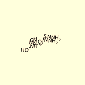 N#C/N=C(/NCCO)NCc1ccc(-c2csc(N=C(N)N)n2)o1